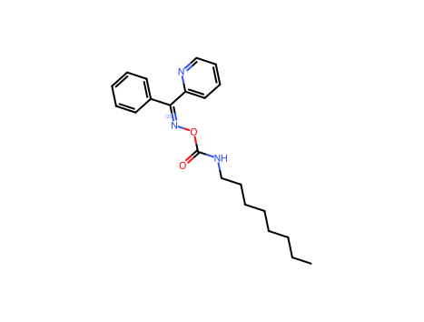 CCCCCCCCNC(=O)O/N=C(/c1ccccc1)c1ccccn1